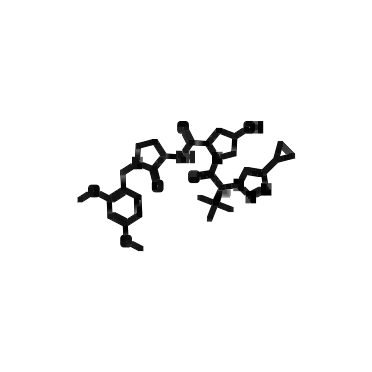 COc1ccc(CN2CCC(NC(=O)C3CC(O)CN3C(=O)[C@@H](n3cc(C4CC4)nn3)C(C)(C)C)C2=O)c(OC)c1